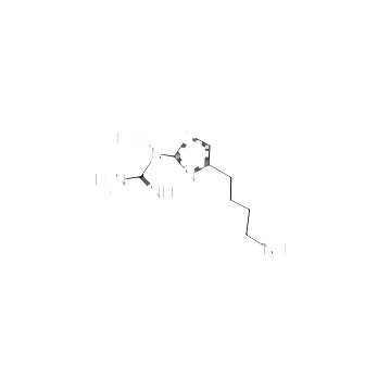 CN(C(=N)N)c1nc(CCCCN)cs1